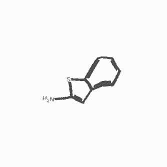 Nc1[c]c2ccccc2s1